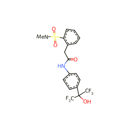 CNS(=O)(=O)c1ccccc1CC(=O)Nc1ccc(C(O)(C(F)(F)F)C(F)(F)F)cc1